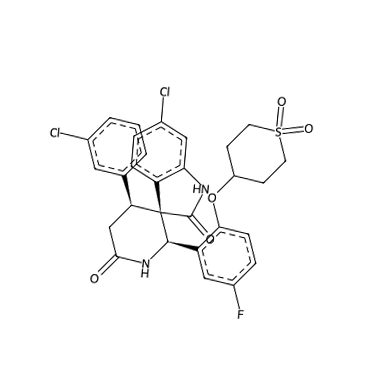 O=C1C[C@@H](c2cccc(Cl)c2)[C@]2(C(=O)Nc3cc(Cl)ccc32)[C@@H](c2cc(F)ccc2OC2CCS(=O)(=O)CC2)N1